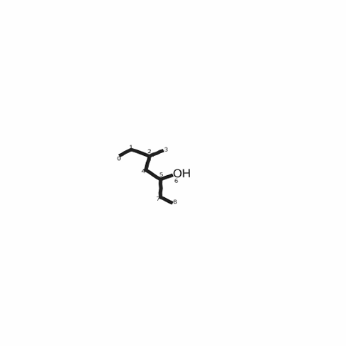 CC[C](C)CC(O)CC